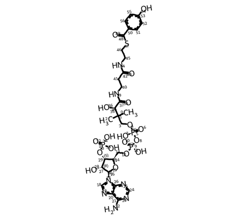 CC(C)(CO[P@@](=O)(O)O[P@@](=O)(O)OC[C@H]1O[C@@H](n2cnc3c(N)ncnc32)[C@H](O)[C@@H]1OP(=O)(O)O)[C@@H](O)C(=O)NCCC(=O)NCCSC(=O)c1ccc(O)cc1